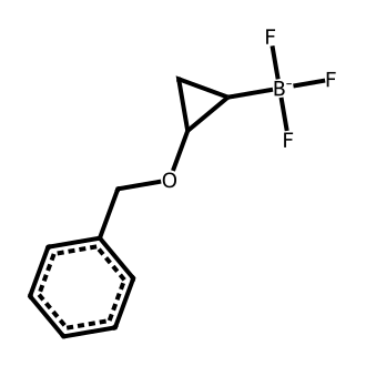 F[B-](F)(F)C1CC1OCc1ccccc1